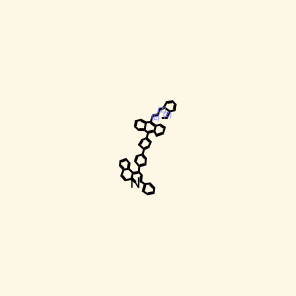 C/C=c1/cccc/c1=C/C=C/c1c2ccccc2c(-c2ccc(-c3ccc(-c4cc(-c5ccccc5)nc5ccc6ccccc6c45)cc3)cc2)c2ccccc12